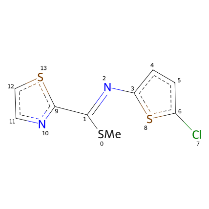 CS/C(=N\c1ccc(Cl)s1)c1nccs1